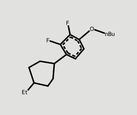 CCCCOc1ccc(C2CCC(CC)CC2)c(F)c1F